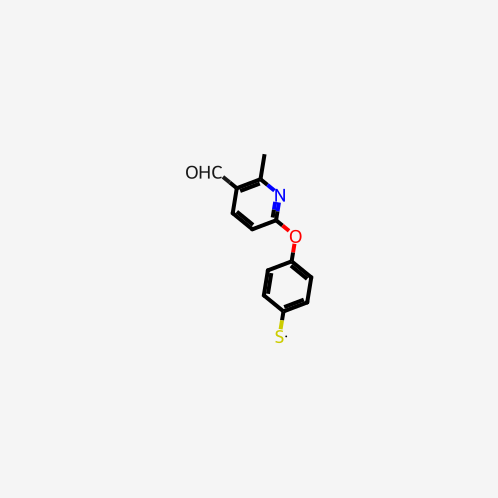 Cc1nc(Oc2ccc([S])cc2)ccc1C=O